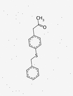 CC(=O)Cc1ccc(SCc2ccccc2)cc1